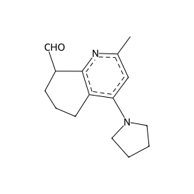 Cc1cc(N2CCCC2)c2c(n1)C(C=O)CCC2